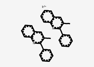 Cc1cc2ccccc2nc1-c1ccccc1.Cc1cc2ccccc2nc1-c1ccccc1.[Ir+3]